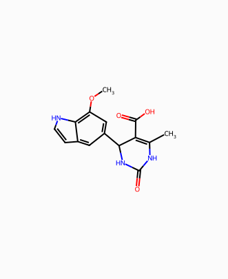 COc1cc(C2NC(=O)NC(C)=C2C(=O)O)cc2cc[nH]c12